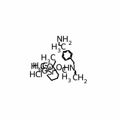 C=CNCc1ccccc1.CCCC1(OC)CCCC[Si]1(OC)OC.CCN.Cl